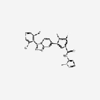 Cc1c(F)cc(C(=O)Nc2ccnn2C)cc1-c1ccn2c(-c3c(F)cccc3Cl)nnc2c1